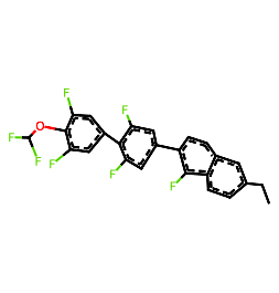 CCc1ccc2c(F)c(-c3cc(F)c(-c4cc(F)c(OC(F)F)c(F)c4)c(F)c3)ccc2c1